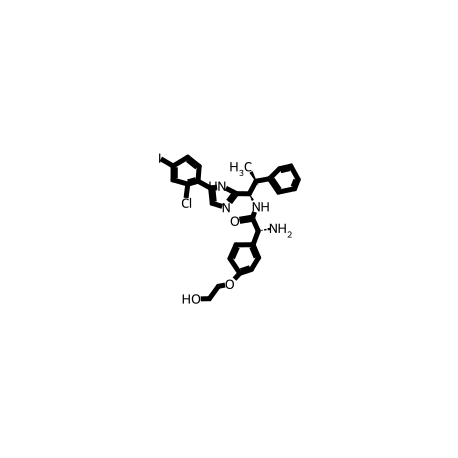 C[C@@H](c1ccccc1)[C@H](NC(=O)[C@H](N)c1ccc(OCCO)cc1)c1ncc(-c2ccc(I)cc2Cl)[nH]1